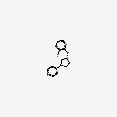 Clc1cccnc1O[C@@H]1CCN(c2ccncc2)C1